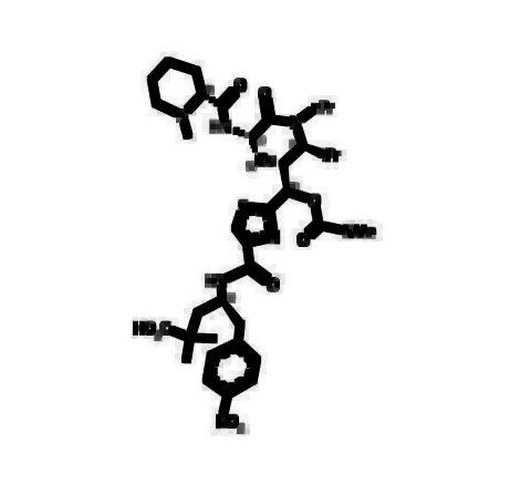 CCCN(C(=O)[C@@H](NC(=O)[C@H]1CCCCN1C)[C@@H](C)CC)[C@H](C[C@@H](OC(=O)NC)c1nc(C(=O)N[C@@H](Cc2ccc([N+](=O)[O-])cc2)CC(C)(C)C(=O)O)cs1)C(C)C